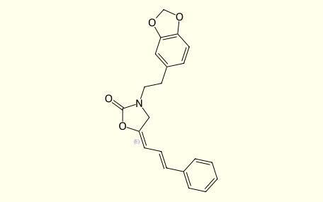 O=C1O/C(=C/C=Cc2ccccc2)CN1CCc1ccc2c(c1)OCO2